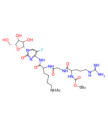 CC(=O)NCCCCC(NC(=O)CNC(=O)C(CCCNC(=N)N)NC(=O)OC(C)(C)C)C(=O)Nc1nc(=O)n([C@@H]2O[C@H](CO)C(O)C2O)cc1F